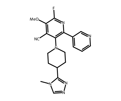 COc1c(F)nc(-c2cccnc2)c(N2CCC(c3nncn3C)CC2)c1C#N